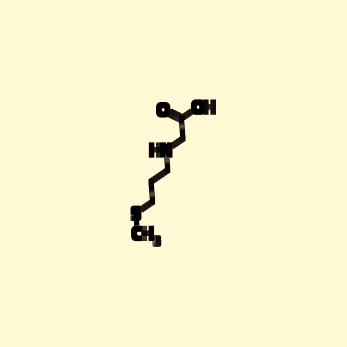 CSCCCNCC(=O)O